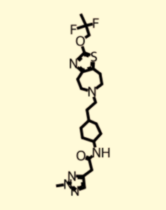 Cn1ncc(CC(=O)NC2CCC(CCN3CCc4nc(OCC(C)(F)F)sc4CC3)CC2)n1